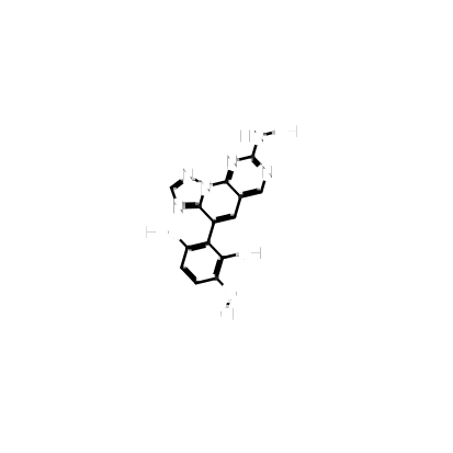 CNc1ncc2cc(-c3c(C)ccc(OC)c3C)c3ncnn3c2n1